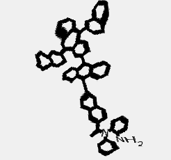 C=C(c1ccc2cc(-c3c4ccccc4c(-c4ccc5c(-c6ccc7ccccc7c6)c6ccccc6c(-c6ccc7ccccc7c6)c5c4)c4ccccc34)ccc2c1)N(c1ccccc1)c1ccccc1N